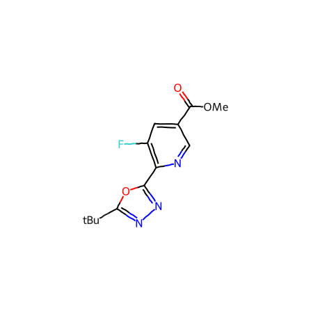 COC(=O)c1cnc(-c2nnc(C(C)(C)C)o2)c(F)c1